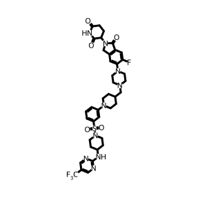 O=C1CCC(N2Cc3cc(N4CCN(CC5CCN(c6cccc(S(=O)(=O)N7CCC(Nc8ncc(C(F)(F)F)cn8)CC7)c6)CC5)CC4)c(F)cc3C2=O)C(=O)N1